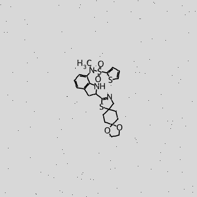 CN(c1cccc2c1NC(C1=NCC3(CCC4(CC3)OCCO4)S1)C2)S(=O)(=O)c1cccs1